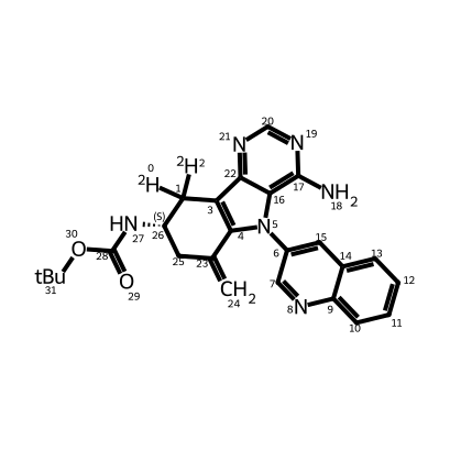 [2H]C1([2H])c2c(n(-c3cnc4ccccc4c3)c3c(N)ncnc23)C(=C)C[C@@H]1NC(=O)OC(C)(C)C